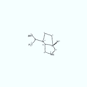 CSC(C)N1CC[C@@H]2CNCC21